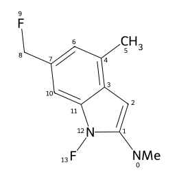 CNc1cc2c(C)cc(CF)cc2n1F